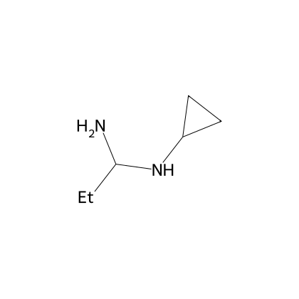 CCC(N)NC1CC1